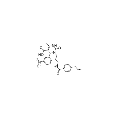 CCCc1ccc(C(=O)N(C)CCCN2C(=O)NC(C)=C(C(=O)O)C2c2cccc([N+](=O)[O-])c2)cc1